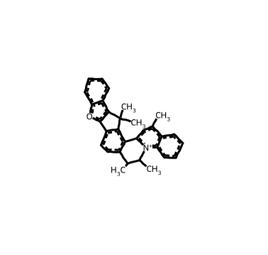 Cc1cc2[n+](c3ccccc13)C(C)C(C)c1ccc3c(c1-2)C(C)(C)c1c-3oc2ccccc12